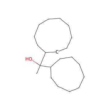 CC(O)(C1CCCCCCCCC1)C1CCCCCCCC1